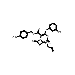 C=CCSC1CC(=O)N1C(C(=O)OCc1ccc([N+](=O)[O-])cc1)=C(Oc1cccc(C(F)(F)F)c1)SC(=O)C(C)(C)C